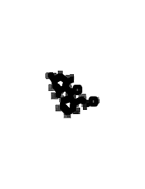 Cc1cc(C)c(C(=O)c2ccccc2CP=O)c(C)c1